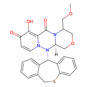 COCC1COC[C@@H]2N1C(=O)c1c(O)c(=O)ccn1N2[C@H]1c2ccccc2CSc2ccccc21